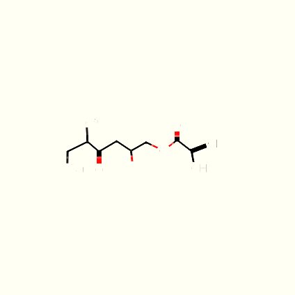 C=C(C)C(=O)OCC(O)CC(=O)C(CC(C)(C)C)C(C)(C)C